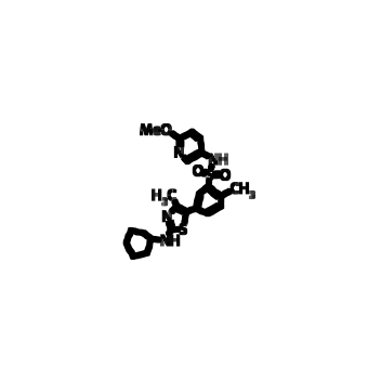 COc1ccc(NS(=O)(=O)c2cc(-c3sc(NC4CCCCC4)nc3C)ccc2C)cn1